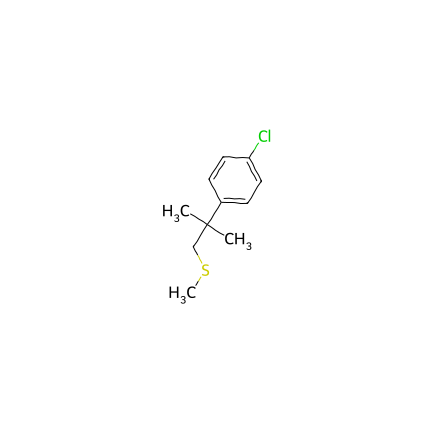 CSCC(C)(C)c1ccc(Cl)cc1